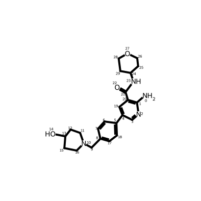 Nc1ncc(-c2ccc(CN3CCC(O)CC3)cc2)cc1C(=O)NC1CCOCC1